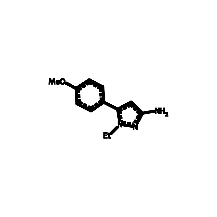 CCn1nc(N)cc1-c1ccc(OC)cc1